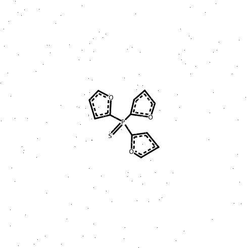 S=P(c1ccco1)(c1ccco1)c1ccco1